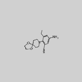 CCc1cc(N)cc(C#N)c1N1CCC2(CC1)OCCO2